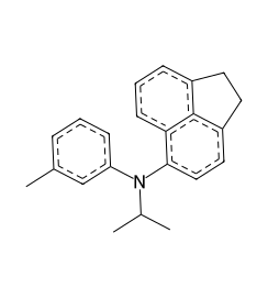 Cc1cccc(N(c2ccc3c4c(cccc24)CC3)C(C)C)c1